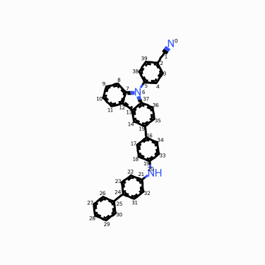 N#Cc1ccc(-n2c3ccccc3c3cc(-c4ccc(Nc5ccc(-c6ccccc6)cc5)cc4)ccc32)cc1